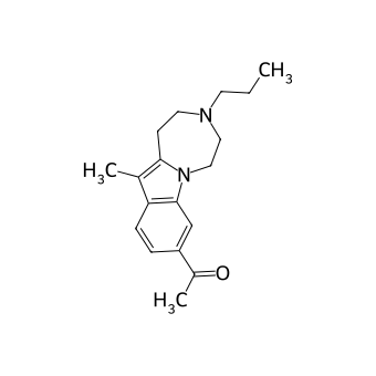 CCCN1CCc2c(C)c3ccc(C(C)=O)cc3n2CC1